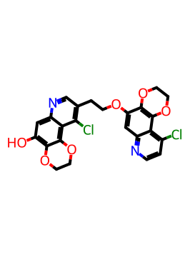 Oc1cc2ncc(CCOc3cc4nccc(Cl)c4c4c3OCCO4)c(Cl)c2c2c1OCCO2